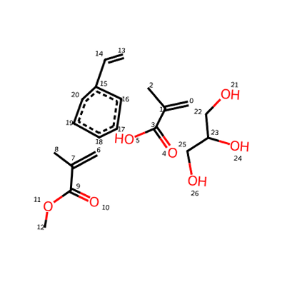 C=C(C)C(=O)O.C=C(C)C(=O)OC.C=Cc1ccccc1.OCC(O)CO